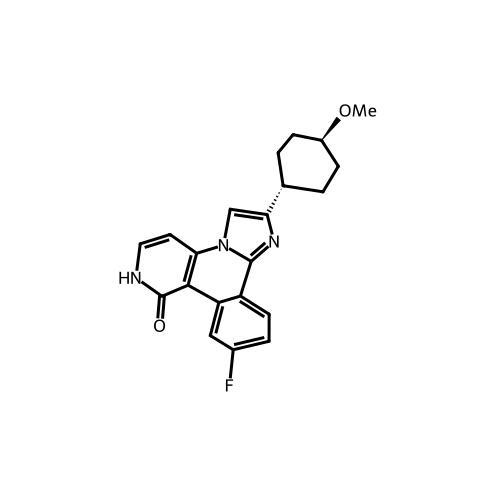 CO[C@H]1CC[C@H](c2cn3c4cc[nH]c(=O)c4c4cc(F)ccc4c3n2)CC1